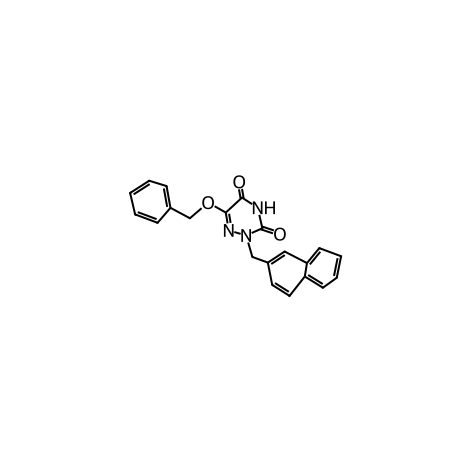 O=c1[nH]c(=O)n(Cc2ccc3ccccc3c2)nc1OCc1ccccc1